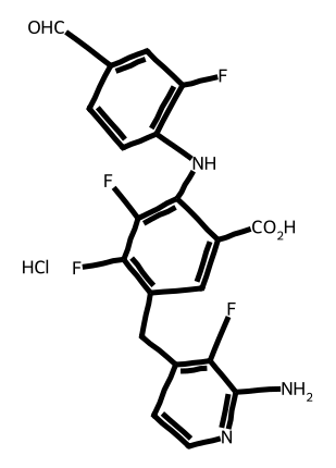 Cl.Nc1nccc(Cc2cc(C(=O)O)c(Nc3ccc(C=O)cc3F)c(F)c2F)c1F